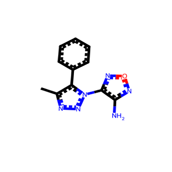 Cc1nnn(-c2nonc2N)c1-c1ccccc1